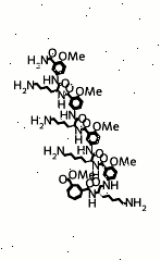 COC(=O)C1=CCC=CC(C(=O)N[C@@H](CCCCCN)C(=O)Nc2ccc(OC)c(C(=O)N[C@@H](CCCCCN)C(=O)Nc3ccc(OC)c(C(=O)N[C@@H](CCCCN)C(=O)Nc4ccc(OC)c(C(=O)NC(CCCCN)C(=O)Nc5ccc(OC)c(C(N)=O)c5)c4)c3)c2)=C1